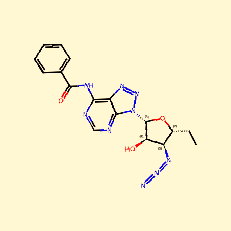 CC[C@H]1O[C@@H](n2nnc3c(NC(=O)c4ccccc4)ncnc32)[C@H](O)[C@@H]1N=[N+]=[N-]